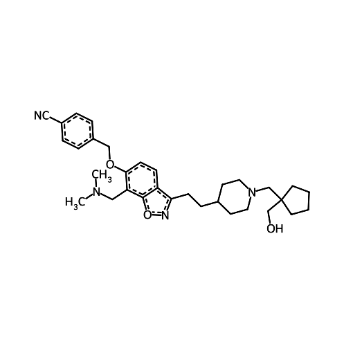 CN(C)Cc1c(OCc2ccc(C#N)cc2)ccc2c(CCC3CCN(CC4(CO)CCCC4)CC3)noc12